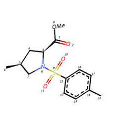 COC(=O)[C@@H]1C[C@H](C)CN1S(=O)(=O)c1ccc(C)cc1